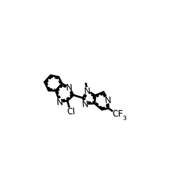 Cn1c(-c2nc3ccccc3nc2Cl)nc2cc(C(F)(F)F)ncc21